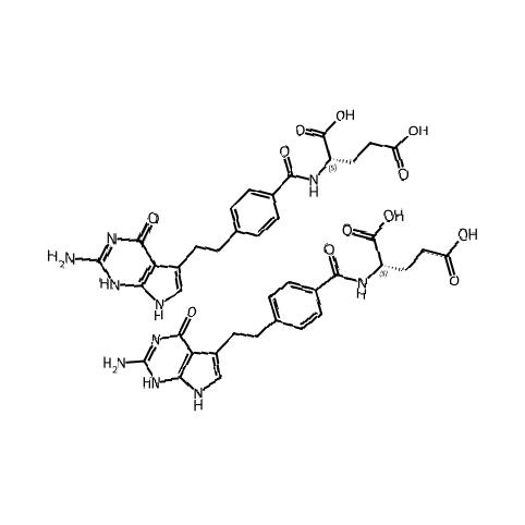 Nc1nc(=O)c2c(CCc3ccc(C(=O)N[C@@H](CCC(=O)O)C(=O)O)cc3)c[nH]c2[nH]1.Nc1nc(=O)c2c(CCc3ccc(C(=O)N[C@@H](CCC(=O)O)C(=O)O)cc3)c[nH]c2[nH]1